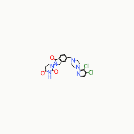 O=C1CCN(N2Cc3cc(CN4CCN(c5nccc(Cl)c5Cl)CC4)ccc3C2=O)C(=O)N1